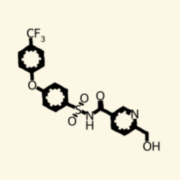 O=C(NS(=O)(=O)c1ccc(Oc2ccc(C(F)(F)F)cc2)cc1)c1ccc(CO)nc1